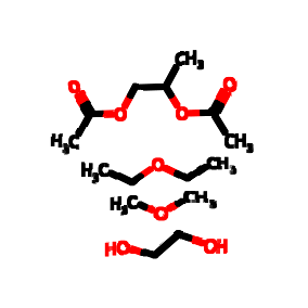 CC(=O)OCC(C)OC(C)=O.CCOCC.COC.OCCO